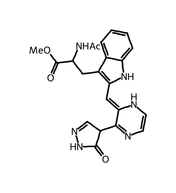 COC(=O)C(Cc1c(C=C2NC=CN=C2C2C=NNC2=O)[nH]c2ccccc12)NC(C)=O